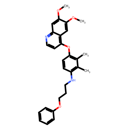 COc1cc2nccc(Oc3ccc(NCCCOc4ccccc4)c(C)c3C)c2cc1OC